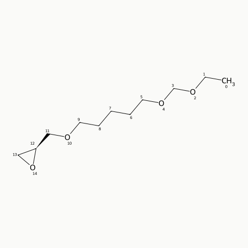 CCOCOCCCCCOC[C@@H]1CO1